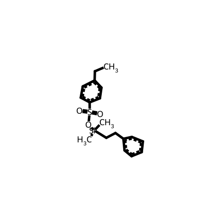 CCc1ccc(S(=O)(=O)O[Si](C)(C)CCc2ccccc2)cc1